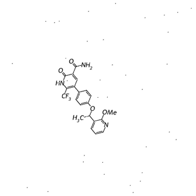 COc1ncccc1C(C)Oc1ccc(-c2cc(C(N)=O)c(=O)[nH]c2C(F)(F)F)cc1